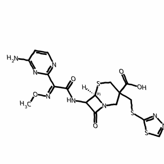 CON=C(C(=O)NC1C(=O)N2CC(CSc3nncs3)(C(=O)O)CS[C@H]12)c1nccc(N)n1